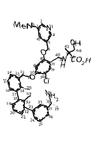 CNc1cncc(COc2cc(OCc3cccc(-c4cccc(-c5cccc([C@@H](C)N)c5)c4C)c3C)c(Cl)cc2CNC(C)(CO)C(=O)O)c1